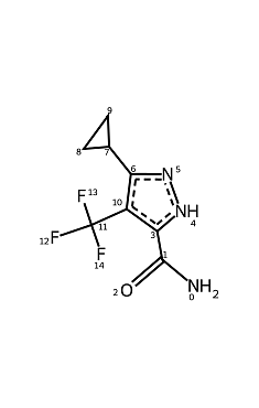 NC(=O)c1[nH]nc(C2CC2)c1C(F)(F)F